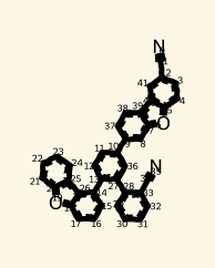 N#Cc1ccc2oc3cc(-c4ccc(-c5cccc6oc7ccccc7c56)c(-c5ccccc5C#N)c4)ccc3c2c1